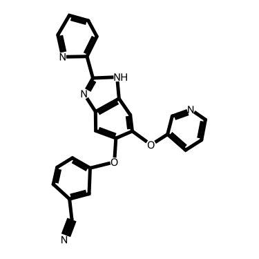 N#Cc1cccc(Oc2cc3nc(-c4ccccn4)[nH]c3cc2Oc2cccnc2)c1